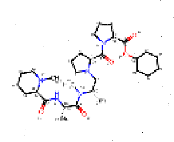 CC(C)[C@@H](CN1CCC[C@H]1C(=O)N1CCC[C@H]1C(=O)OC1CCCCC1)N(C)C(=O)[C@@H](NC(=O)[C@H]1CCCCN1C)C(C)(C)C